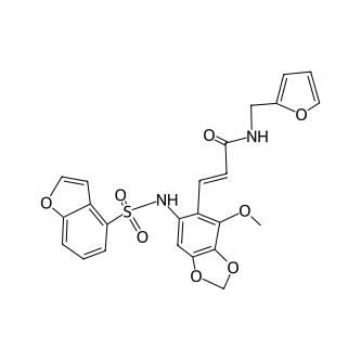 COc1c(C=CC(=O)NCc2ccco2)c(NS(=O)(=O)c2cccc3occc23)cc2c1OCO2